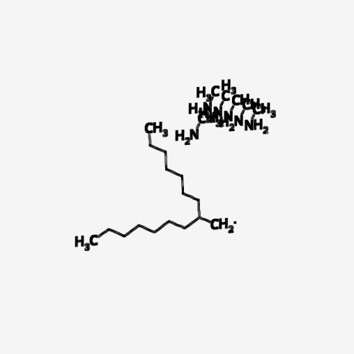 CN.CN.CN.CN.CN.CN.[CH2]C(CCCCCCC)CCCCCCC